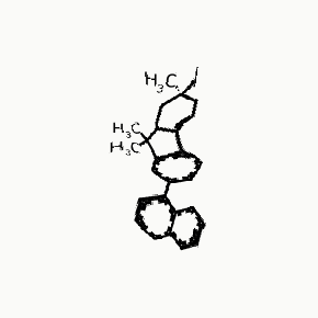 CC1(C)c2cc(-c3cccc4ccccc34)ccc2C2=CC[C@](C)(I)CC21